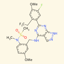 COc1ccc(N(C)S(C)(=O)=O)c(CNc2nc(-c3cc(F)c(OC)cc3CC(F)(F)F)nc3[nH]ncc23)c1